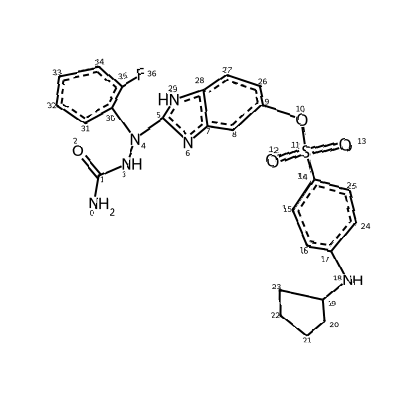 NC(=O)NN(c1nc2cc(OS(=O)(=O)c3ccc(NC4CCCC4)cc3)ccc2[nH]1)c1ccccc1F